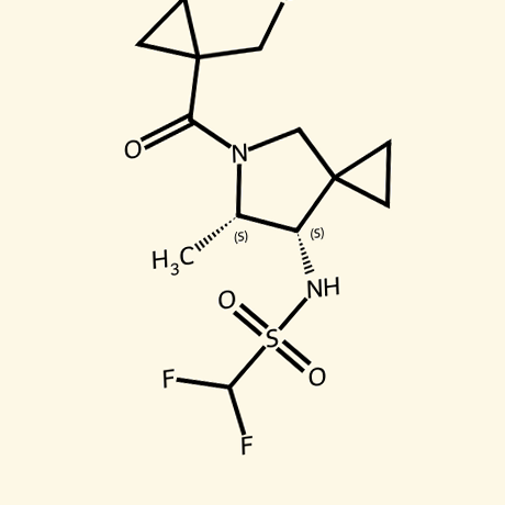 COCC1(C(=O)N2CC3(CC3)[C@H](NS(=O)(=O)C(F)F)[C@@H]2C)CC1